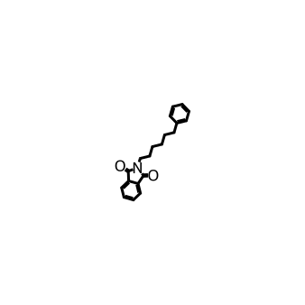 O=C1c2ccccc2C(=O)N1CCCCCCc1ccccc1